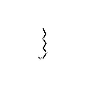 CCOCC[O][GaH2]